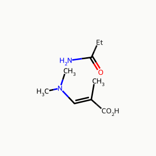 CC(=CN(C)C)C(=O)O.CCC(N)=O